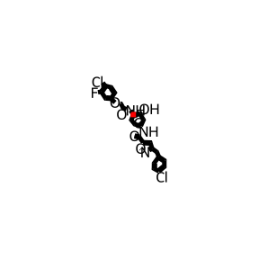 O=C(COc1ccc(Cl)c(F)c1)NC12CCC(NC(=O)c3cc(Cc4ccc(Cl)cc4)no3)(CC1)CC2O